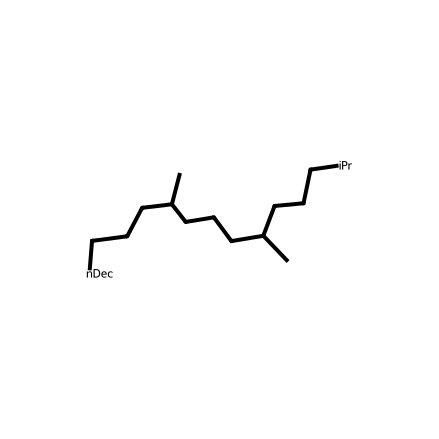 CCCCCCCCCCCCCC(C)CCCC(C)CCCC(C)C